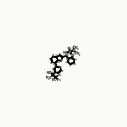 CN(C)S(=O)(=O)N[C@@H](c1cc2cccc(-c3cc([C@@](C)(O)C(F)(F)F)ccn3)c2s1)c1ccccc1Cl